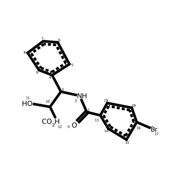 O=C(NC(c1ccccc1)C(O)C(=O)O)c1ccc(Br)cc1